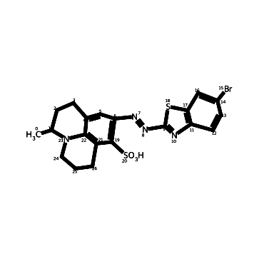 CC1CCc2cc(N=Nc3nc4ccc(Br)cc4s3)c(S(=O)(=O)O)c3c2N1CCC3